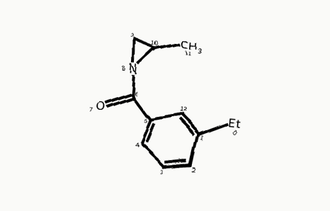 CCc1cccc(C(=O)N2CC2C)c1